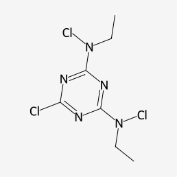 CCN(Cl)c1nc(Cl)nc(N(Cl)CC)n1